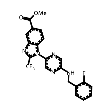 COC(=O)c1ccc2c(c1)nc(C(F)(F)F)n2-c1cnc(NCc2ccccc2F)cn1